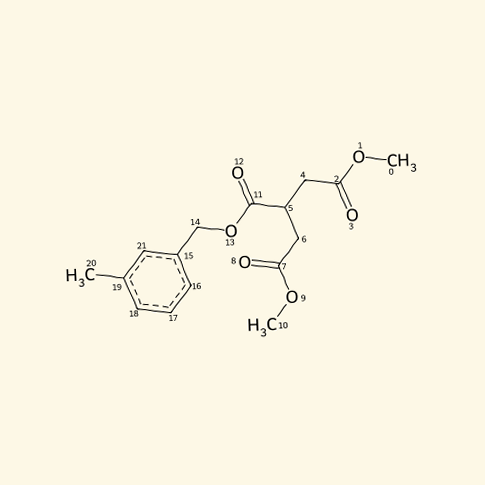 COC(=O)CC(CC(=O)OC)C(=O)OCc1cccc(C)c1